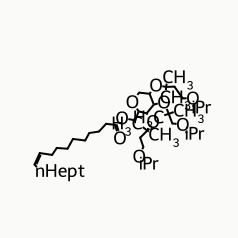 CCCCCCC/C=C\CCCCCCCCC(=O)OCC1OCC(OC(C)(C)CCOC(C)C)C(OC(C)(C)COC(C)C)C1OC(C)(C)CCOC(C)C